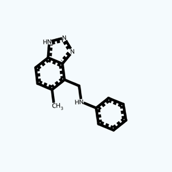 Cc1ccc2[nH]nnc2c1CNc1ccccc1